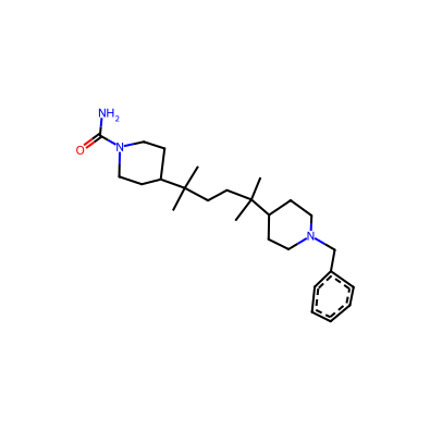 CC(C)(CCC(C)(C)C1CCN(C(N)=O)CC1)C1CCN(Cc2ccccc2)CC1